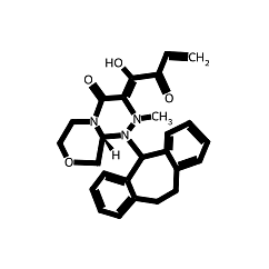 C=CC(=O)/C(O)=C1/C(=O)N2CCOC[C@H]2N(C2c3ccccc3CCc3ccccc32)N1C